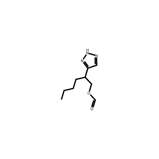 CCCCC(COC=O)c1cn[nH]n1